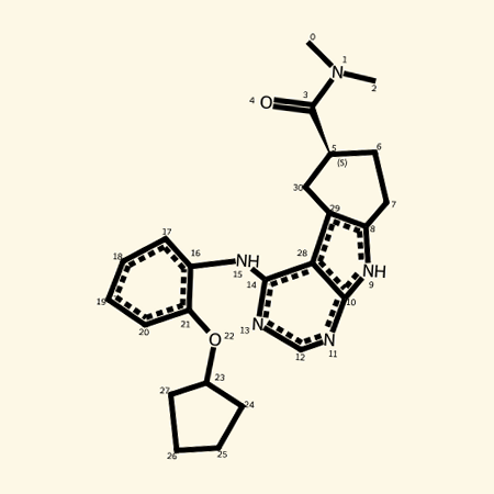 CN(C)C(=O)[C@H]1CCc2[nH]c3ncnc(Nc4ccccc4OC4CCCC4)c3c2C1